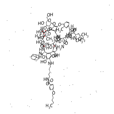 CCCCCOc1ccc(S(=O)(=O)NCCCCCNCc2c(O)cc3c(c2O)-c2cc(ccc2O)[C@H]2NC(=O)[C@@H]4NC(=O)[C@H](CC(N)=O)NC(=O)[C@H](NC(=O)[C@@H](CC(C)C)NC)[C@H](O)c5ccc(c(C)c5)Oc5cc4cc(c5O[C@@H]4O[C@H](CO)[C@@H](O)[C@H](O)[C@H]4O[C@H]4C[C@](C)(N)[C@H](O)[C@H](C)O4)Oc4ccc(cc4Cl)[C@@H](O)[C@H](NC2=O)C(=O)N[C@@H]3C(=O)NC2C3CC4CC(C3)CC2C4)cc1